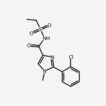 CCS(=O)(=O)NC(=O)c1cn(C)c(-c2ccccc2Cl)n1